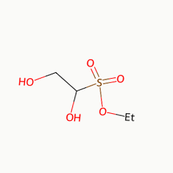 CCOS(=O)(=O)C(O)CO